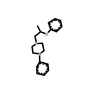 CC(CN1CCN(c2[c]cccc2)CC1)Oc1ccccc1